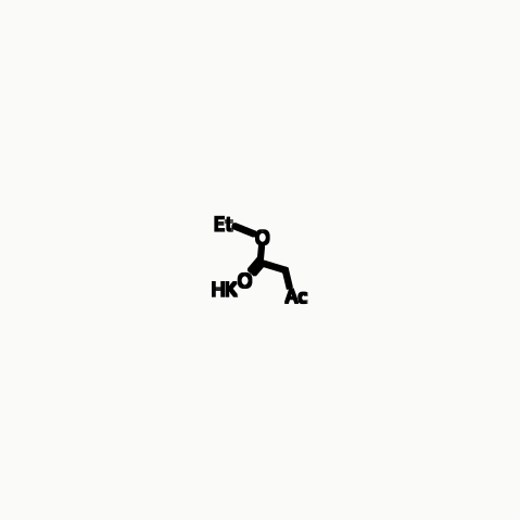 CCOC(=O)CC(C)=O.[KH]